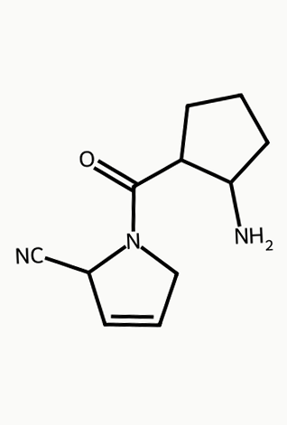 N#CC1C=CCN1C(=O)C1CCCC1N